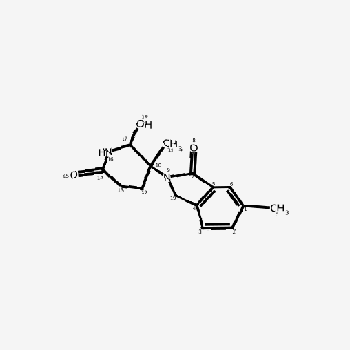 Cc1ccc2c(c1)C(=O)N(C1(C)CCC(=O)NC1O)C2